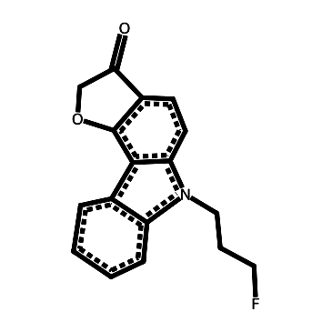 O=C1COc2c1ccc1c2c2ccccc2n1CCCF